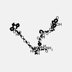 CCCC(OCC(=O)COC1CCCCN1C(=O)CNC(=O)OCc1ccc(NC(O)[C@H](CCCNC(N)=O)NC(=O)[C@@H](NC(=O)CCOCCOCCOCCOCCNC(=O)CCC(=O)N2Cc3ccccc3C3C=CC3c3ccccc32)C(C)C)cc1)O[C@@H]1C[C@H]2[C@@H]3CCC4=CC(=O)C=C[C@]4(C)[C@H]3[C@@H](O)C[C@]2(C)C1